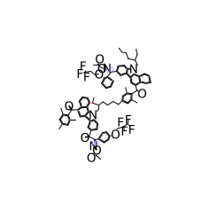 CCCCC(CC)Cn1c2ccc(/C(=N/OC(C)=O)c3ccccc3OCCC(F)(F)F)cc2c2cc(C(=O)c3c(C)cc(CCCCC(CC)Cn4c5ccc(C(=O)/C(=N/OC(C)=O)c6ccc(OCC(F)(F)C(F)F)cc6)cc5c5cc(C(=O)c6c(C)cc(C)cc6C)c6ccccc6c54)cc3C)c3ccccc3c21